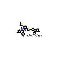 CCCCCCCCCCCCC1(CCCCCCCCCCCC)c2cc(C)ccc2-c2ccc(-c3ccc(-c4ccc(-c5ccc(C)s5)c5nc(-c6ccc(C)cc6)c(-c6ccc(C)cc6)nc45)s3)cc21